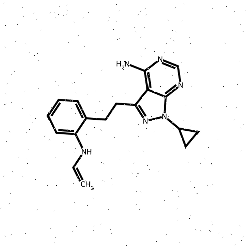 C=CNc1ccccc1CCc1nn(C2CC2)c2ncnc(N)c12